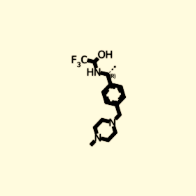 C[C@@H](NC(O)C(F)(F)F)c1ccc(CN2CCN(C)CC2)cc1